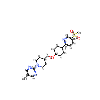 CCc1cnc(N2CCC(COC3CCC(c4ccc(S(C)(=O)=O)cn4)CC3)CC2)nc1